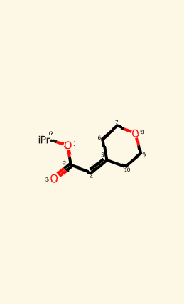 CC(C)OC(=O)C=C1CCOCC1